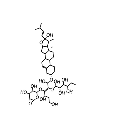 CCC(O)C(O)C(O)C(O)O/C(=C(/OC1OC2OC2C(O)C1O)C(O)CCO)C(O)O[C@H]1CCC2C(=CCC3C2CC[C@@]2(C)C3CC3OC(O)(/C=C/C(C)C)[C@@H](C)C32)C1